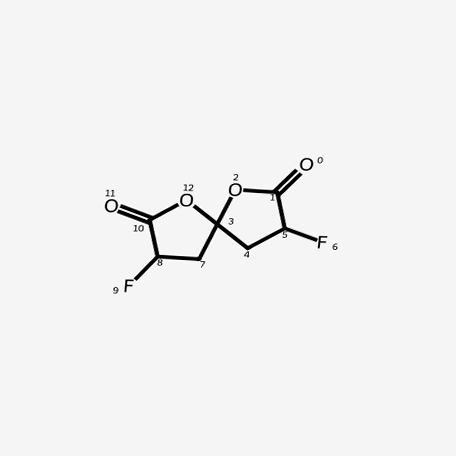 O=C1OC2(CC1F)CC(F)C(=O)O2